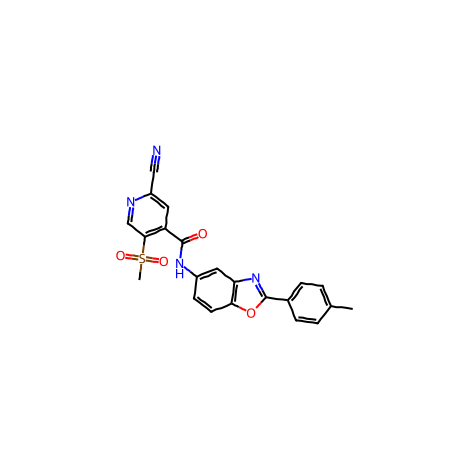 Cc1ccc(-c2nc3cc(NC(=O)c4cc(C#N)ncc4S(C)(=O)=O)ccc3o2)cc1